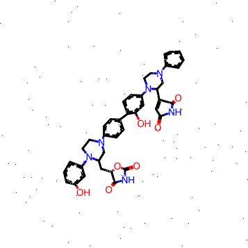 O=C1C=C(C2CN(c3ccccc3)CCN2c2ccc(-c3ccc(N4CCN(c5cccc(O)c5)C(CC5OC(=O)NC5=O)C4)cc3)c(O)c2)C(=O)N1